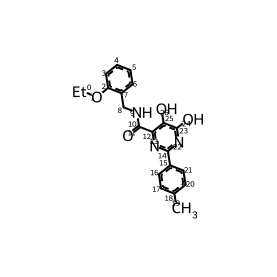 CCOc1ccccc1CNC(=O)c1nc(-c2ccc(C)cc2)nc(O)c1O